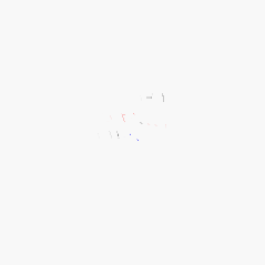 C=CO.CC(C)(C)OC(=O)N1CCCCC1